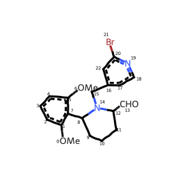 COc1cccc(OC)c1C1CCCC(C=O)N1Cc1ccnc(Br)c1